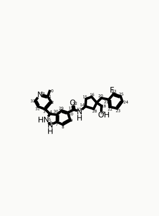 Cc1cc(C2NNc3ccc(C(=O)NC4CCC(CO)(Cc5ccccc5F)C4)cc32)ccn1